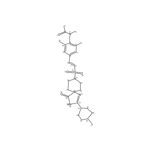 CC(=O)N(C)c1c(C)cc(/C=C/S(=O)(=O)N2CCC3(CC2)N=C(C2CCC(C)CC2)NC3=O)cc1C